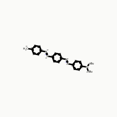 CCCCN(CCCC)c1ccc(/N=N/c2ccc(/N=N/c3ccc(C)cc3)cc2)cc1